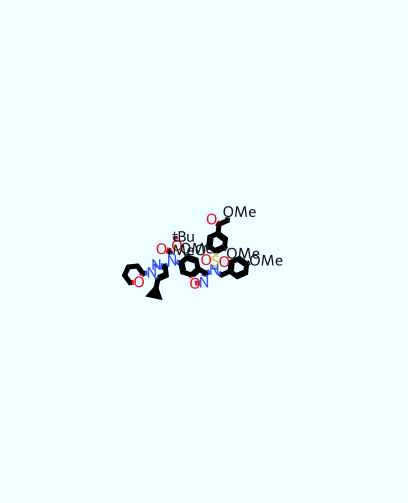 COCC(=O)c1cc(OC)c(S(=O)(=O)N(Cc2ccc(OC)cc2)c2noc3cc(N(C(=O)OC(C)(C)C)c4cc(C5CC5)n(C5CCCCO5)n4)c(OC)cc23)c(OC)c1